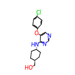 OC[C@H]1CC[C@H](Nc2ncncc2Oc2ccc(Cl)cc2)CC1